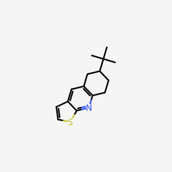 CC(C)(C)C1CCc2nc3sccc3cc2C1